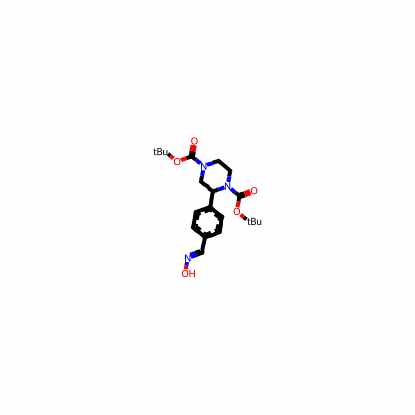 CC(C)(C)OC(=O)N1CCN(C(=O)OC(C)(C)C)C(c2ccc(C=NO)cc2)C1